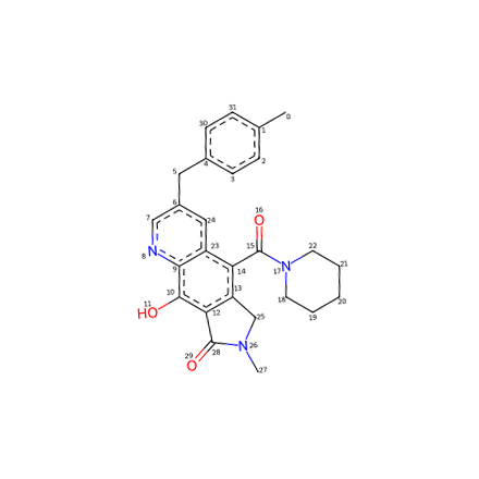 Cc1ccc(Cc2cnc3c(O)c4c(c(C(=O)N5CCCCC5)c3c2)CN(C)C4=O)cc1